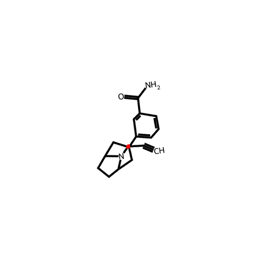 C#CCN1C2CCC1CC(c1cccc(C(N)=O)c1)C2